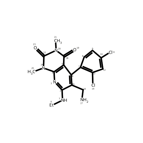 CCNc1nc2c(c(-c3ccc(Cl)cc3Cl)c1CN)c(=O)n(C)c(=O)n2C